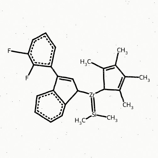 CC1=C(C)[CH]([Zr]([CH]2C=C(c3cccc(F)c3F)c3ccccc32)=[Si](C)C)C(C)=C1C